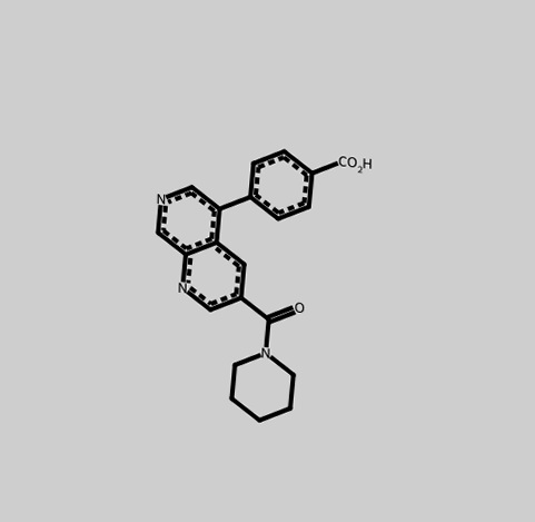 O=C(O)c1ccc(-c2cncc3ncc(C(=O)N4CCCCC4)cc23)cc1